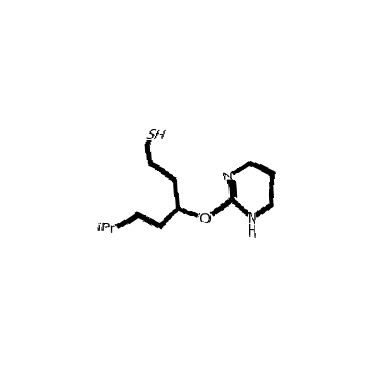 CC(C)CCC(CCS)OC1=NCCCN1